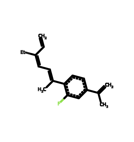 C=C/C(=C\C=C(/C)c1ccc(C(=C)C)cc1F)CC